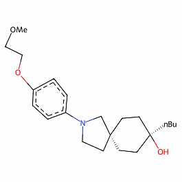 CCCC[C@]1(O)CC[C@@]2(CCN(c3ccc(OCCOC)cc3)C2)CC1